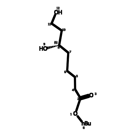 CCCCOC(=O)CCCC[C@H](O)CCO